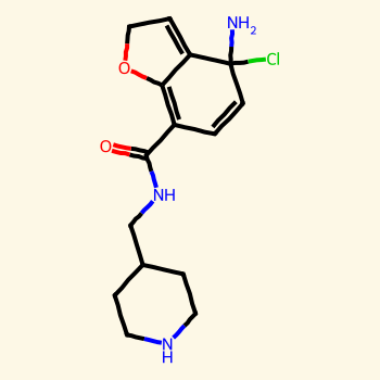 NC1(Cl)C=CC(C(=O)NCC2CCNCC2)=C2OCC=C21